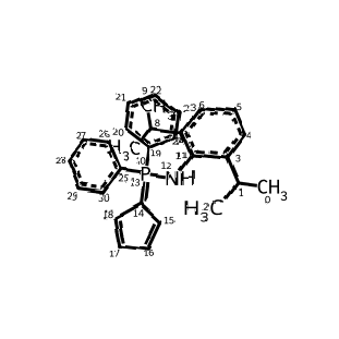 CC(C)c1cccc(C(C)C)c1NP(=C1C=CC=C1)(c1ccccc1)c1ccccc1